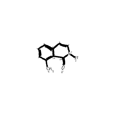 CCn1ccc2cccc(C)c2c1=O